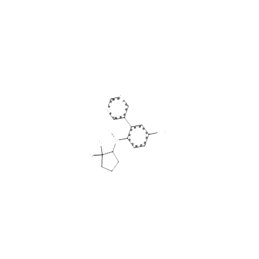 CC(C)N(c1ccc(C=O)cc1-c1cncnc1)C1CCCC1(N)N=O